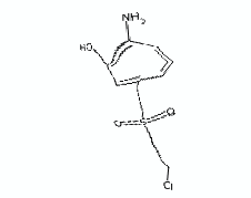 Nc1ccc(S(=O)(=O)CCCl)cc1O